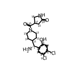 N[C@@H](c1cc(Cl)c(Cl)cc1O)C1CCN(C(=O)C2CNC(=O)C2)CC1